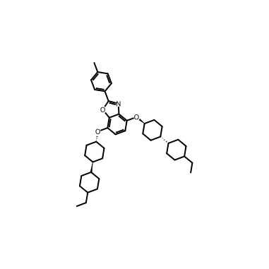 CCC1CCC([C@H]2CC[C@H](Oc3ccc(O[C@H]4CC[C@H](C5CCC(CC)CC5)CC4)c4oc(-c5ccc(C)cc5)nc34)CC2)CC1